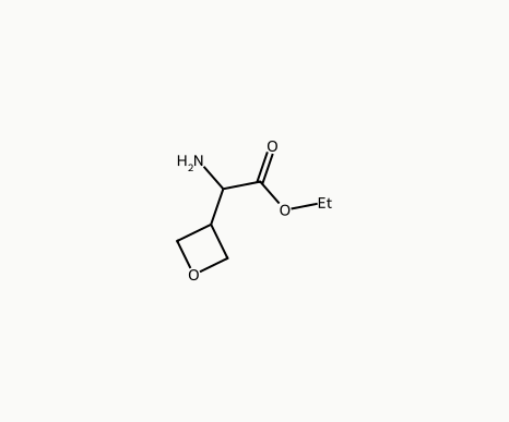 CCOC(=O)C(N)C1COC1